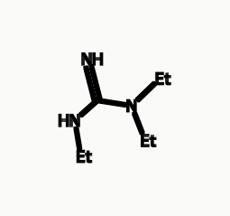 CCNC(=N)N(CC)CC